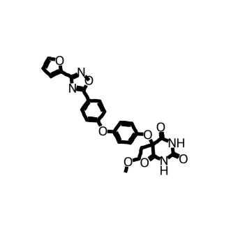 COCCC1(Oc2ccc(Oc3ccc(-c4nc(-c5ccco5)no4)cc3)cc2)C(=O)NC(=O)NC1=O